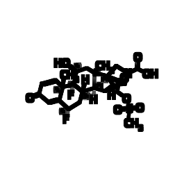 C[C@]12C=CC(=O)C=C1[C@@H](F)C[C@H]1[C@@H]3C[C@H]4CN(C(=O)O)C[C@@]4(C(=O)COS(C)(=O)=O)[C@@]3(C)C[C@H](O)[C@@]12F